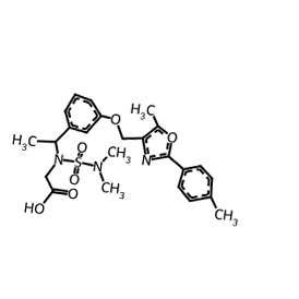 Cc1ccc(-c2nc(COc3cccc(C(C)N(CC(=O)O)S(=O)(=O)N(C)C)c3)c(C)o2)cc1